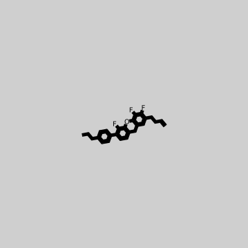 C=CCCc1cc2c(c(F)c1F)Oc1c(ccc(-c3ccc(CCC)cc3)c1F)C2